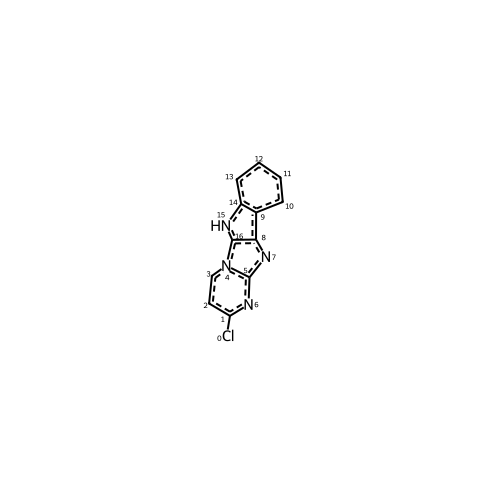 Clc1ccn2c(n1)nc1c3ccccc3[nH]c12